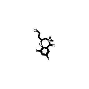 C[N+]1(C)CC(CCCl)Oc2c(I)cc(I)cc2C1=O